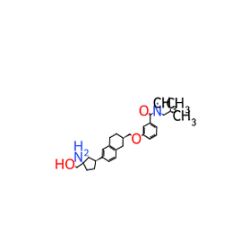 CC(C)CN(C)C(=O)c1cccc(OC[C@@H]2CCc3cc([C@H]4CC[C@](N)(CO)C4)ccc3C2)c1